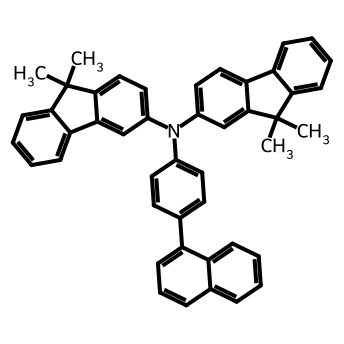 CC1(C)c2ccccc2-c2cc(N(c3ccc(-c4cccc5ccccc45)cc3)c3ccc4c(c3)C(C)(C)c3ccccc3-4)ccc21